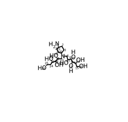 N[C@H]1CC[C@@H](N(C[C@H](O)[C@@H](O)[C@H](O)[C@H](O)CO)C[C@H](O)[C@@H](O)[C@H](O)CCO)CC1